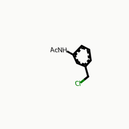 CC(=O)Nc1cccc(CCl)c1